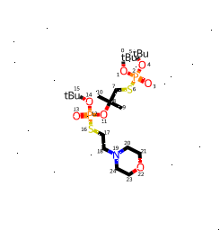 CC(C)(C)OP(=O)(OC(C)(C)C)SCC(C)(C)OP(=O)(OC(C)(C)C)SCCN1CCOCC1